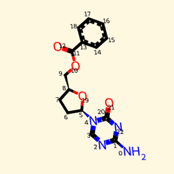 Nc1ncn([C@H]2CC[C@@H](COC(=O)c3ccccc3)O2)c(=O)n1